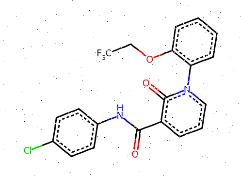 O=C(Nc1ccc(Cl)cc1)c1cccn(-c2ccccc2OCC(F)(F)F)c1=O